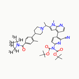 [2H]C([2H])([2H])N(C(=O)c1ccc(C2CCN(C(C)c3cc4c(-c5ccc(N(C(=O)OC(C)(C)C)C(=O)OC(C)(C)C)nc5C#N)ccnc4n3C)CC2)c(C)c1)C([2H])([2H])[2H]